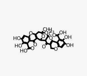 CC12Cc3oc4cc(O)c(O)c(C(=O)O)c4c(=O)c3C(O1)C1C(=O)C3=C(OC1(C)O2)c1c(cc(O)c(O)c1C(=O)O)OC3